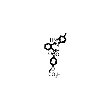 Cc1ccc2nc(-c3ccccc3NS(=O)(=O)c3ccc(OCC(=O)O)cc3)[nH]c2c1